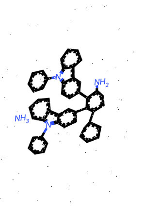 N.Nc1ccc(-c2ccccc2)c(-c2ccc3c(c2)c2ccccc2n3-c2ccccc2)c1-c1ccc2c(c1)c1ccccc1n2-c1ccccc1